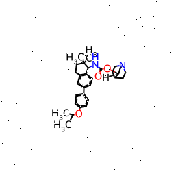 CC(C)Oc1ccc(-c2ccc3c(c2)CCC(C)(C)[C@H]3NC(=O)O[C@@H]2CN3CCC2CC3)cc1